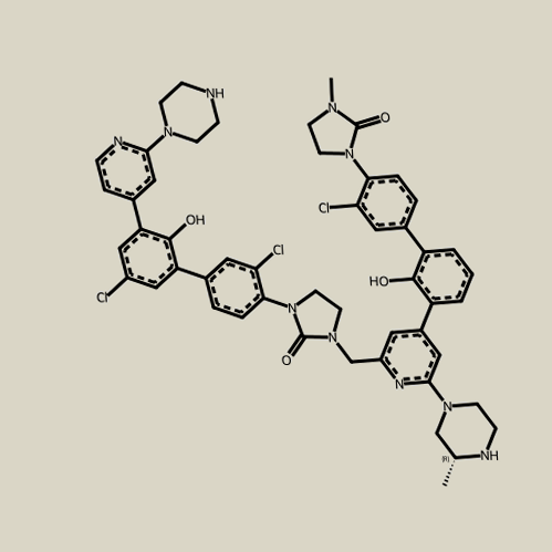 C[C@@H]1CN(c2cc(-c3cccc(-c4ccc(N5CCN(C)C5=O)c(Cl)c4)c3O)cc(CN3CCN(c4ccc(-c5cc(Cl)cc(-c6ccnc(N7CCNCC7)c6)c5O)cc4Cl)C3=O)n2)CCN1